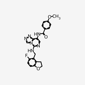 COc1ccc(C(=O)Nc2cnc(NCc3c(F)ccc4c3CCO4)n3cnnc23)cc1